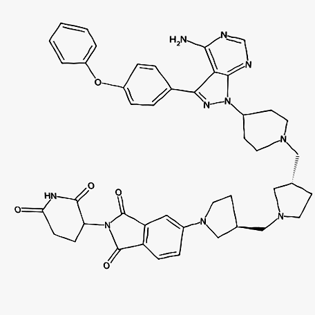 Nc1ncnc2c1c(-c1ccc(Oc3ccccc3)cc1)nn2C1CCN(C[C@@H]2CCN(C[C@@H]3CCN(c4ccc5c(c4)C(=O)N(C4CCC(=O)NC4=O)C5=O)C3)C2)CC1